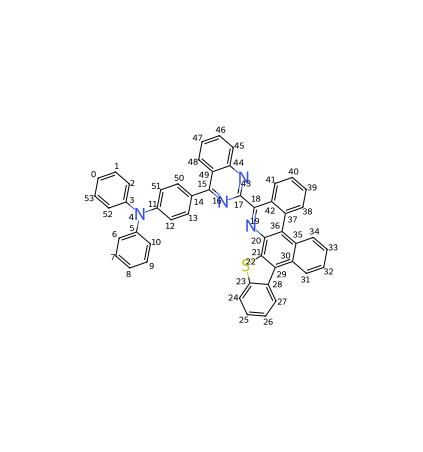 c1ccc(N(c2ccccc2)c2ccc(-c3nc(-c4nc5c6sc7ccccc7c6c6ccccc6c5c5ccccc45)nc4ccccc34)cc2)cc1